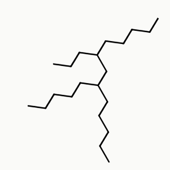 CCCCCC(CCC)CC(CCCCC)CCCCC